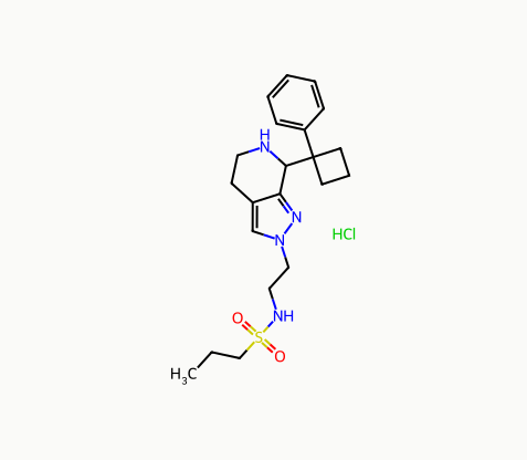 CCCS(=O)(=O)NCCn1cc2c(n1)C(C1(c3ccccc3)CCC1)NCC2.Cl